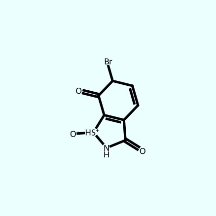 O=C1N[SH+]([O-])C2=C1C=CC(Br)C2=O